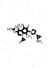 Cc1c(N2CCC([C@@H]3C[C@@H]3N)C2)c(F)c(N)c2c(=O)c(OC(=O)O)cn([C@@H]3C[C@@H]3F)c12